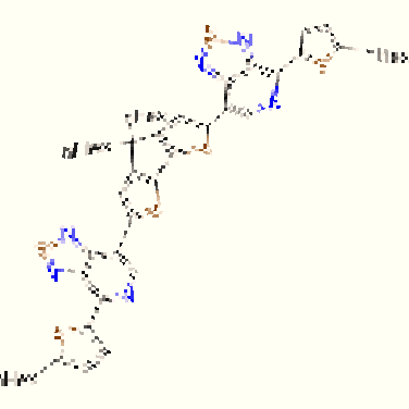 CCCCCCc1ccc(-c2ncc(-c3cc4c(s3)-c3sc(-c5cnc(-c6ccc(CCCCCC)s6)c6nsnc56)cc3C4(CCCCCC)CCCCCC)c3nsnc23)s1